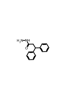 NNC(=O)CC(c1ccccc1)c1ccccc1